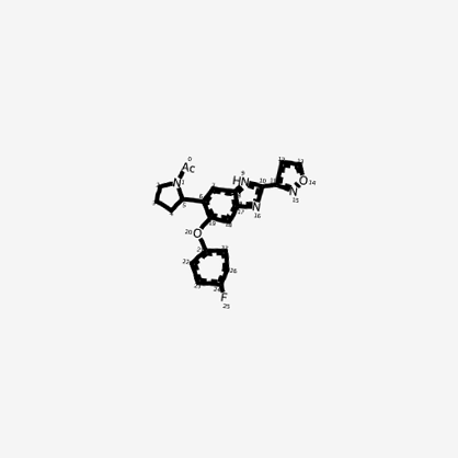 CC(=O)N1CCCC1c1cc2[nH]c(-c3ccon3)nc2cc1Oc1ccc(F)cc1